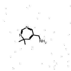 CC1(C)C=C(CN)C=NC=N1